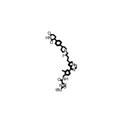 Cc1cc(-c2ncnn3cc(CC[C@H](F)CN4CCC(c5ccc(C6CCC(=O)NC6=O)cc5)CC4)cc23)ccc1CNC(=O)c1noc(C(C)(C)C)n1